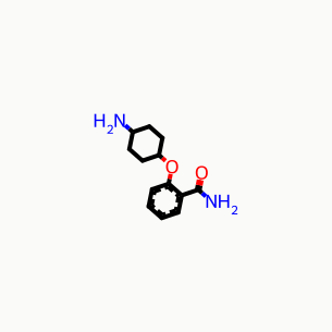 NC(=O)c1ccccc1OC1CCC(N)CC1